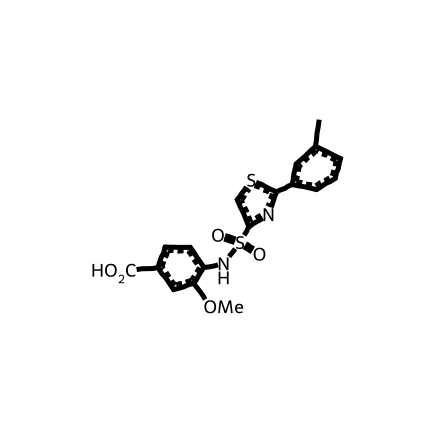 COc1cc(C(=O)O)ccc1NS(=O)(=O)c1csc(-c2cccc(C)c2)n1